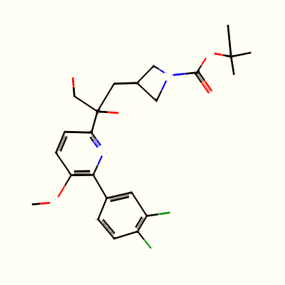 COc1ccc(C(O)(CO)CC2CN(C(=O)OC(C)(C)C)C2)nc1-c1ccc(F)c(Cl)c1